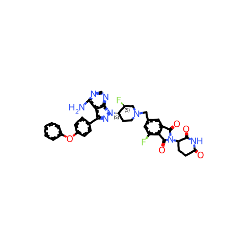 Nc1ncnc2c1c(-c1ccc(Oc3ccccc3)cc1)nn2[C@H]1CCN(Cc2cc(F)c3c(c2)C(=O)N(C2CCC(=O)NC2=O)C3=O)C[C@@H]1F